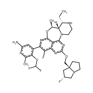 CC[C@@H]1NCCN2c3nc(OC[C@@]45CCCN4C[C@H](F)C5)nc4c(F)c(-c5cc(N)nc(C)c5OC(F)F)nc(c34)O[C@@H](C)[C@H]12